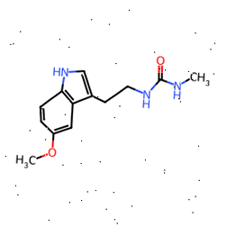 CNC(=O)NCCc1c[nH]c2ccc(OC)cc12